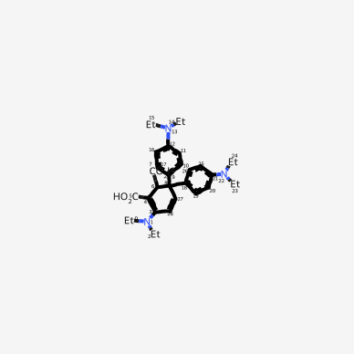 CCN(CC)C1=C(C(=O)O)C(C(=O)O)C(c2ccc(N(CC)CC)cc2)(c2ccc(N(CC)CC)cc2)C=C1